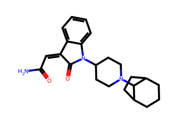 NC(=O)/C=C1\C(=O)N(C2CCN(C3C4CCCC3CC4)CC2)c2ccccc21